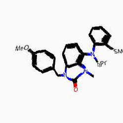 CCCN(c1ccccc1SC)c1cccc2c1n(C)c(=O)n2Cc1ccc(OC)cc1